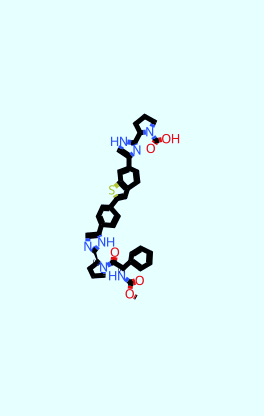 COC(=O)N[C@@H](C(=O)N1CCC[C@H]1c1ncc(-c2ccc(-c3cc4ccc(-c5c[nH]c(C6CCCN6C(=O)O)n5)cc4s3)cc2)[nH]1)c1ccccc1